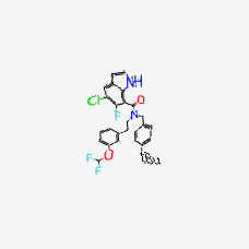 CC(C)(C)c1ccc(CN(CCc2cccc(OC(F)F)c2)C(=O)c2c(F)c(Cl)cc3cc[nH]c23)cc1